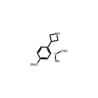 CC(C)(C)OC=O.COc1ccc(C2CNC2)cc1